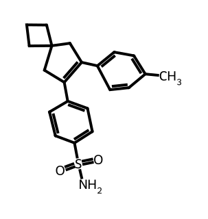 Cc1ccc(C2=C(c3ccc(S(N)(=O)=O)cc3)CC3(CCC3)C2)cc1